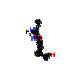 O=C(NS(=O)(=O)c1ccc(NCCSc2ccccc2)c(C(F)(F)F)c1)c1ccc(N2CCN(Cc3ccccc3C#Cc3cncc(O)c3)CC2)cc1